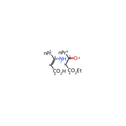 CCCC(=O)CC(=O)OCC.CCCC(N)=CC(=O)O